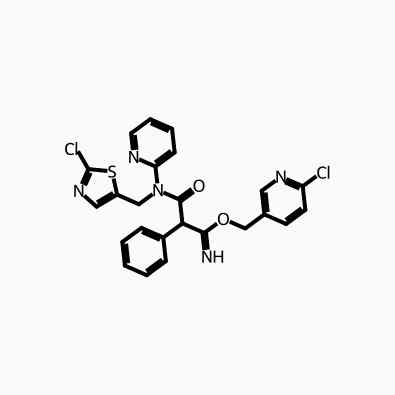 N=C(OCc1ccc(Cl)nc1)C(C(=O)N(Cc1cnc(Cl)s1)c1ccccn1)c1ccccc1